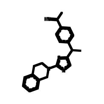 CC(=N)c1ccc(C(C)c2cnc(N3CCc4ccccc4C3)s2)cc1